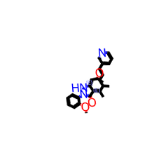 COc1ccccc1-n1[nH]c(=C/C(C)=O)/c(=C(/C)C(C)CCCc2cccnc2)c1=O